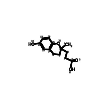 CC1(CCC(=O)O)CCc2cc(O)ccc2O1